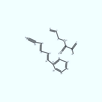 C=CCOC(=O)C(=C)C.N#CC=CC=Cc1ccccc1